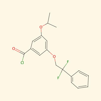 CC(C)Oc1cc(OCC(F)(F)c2ccccc2)cc(C(=O)Cl)c1